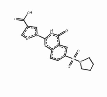 O=C(O)c1cnn(-c2nc3ccc(S(=O)(=O)N4CCCC4)cc3c(=O)[nH]2)c1